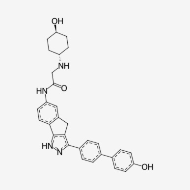 O=C(CN[C@H]1CC[C@H](O)CC1)Nc1ccc2c(c1)Cc1c(-c3ccc(-c4ccc(O)cc4)cc3)n[nH]c1-2